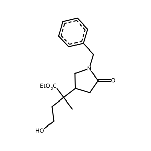 CCOC(=O)C(C)(CCO)C1CC(=O)N(Cc2ccccc2)C1